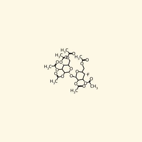 CC(=O)OCC1O[C@H](O[C@H]2OC(COC(C)=O)[C@@H](OC(C)=O)C(OC(C)=O)C2OC(C)=O)C(OC(C)=O)C(OC(C)=O)[C@H]1F